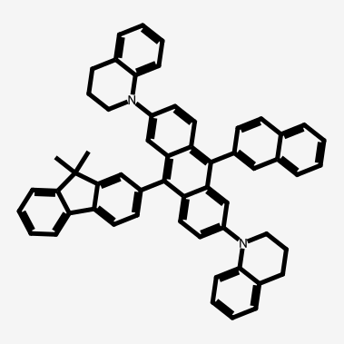 CC1(C)c2ccccc2-c2ccc(-c3c4ccc(N5CCCc6ccccc65)cc4c(-c4ccc5ccccc5c4)c4ccc(N5CCCc6ccccc65)cc34)cc21